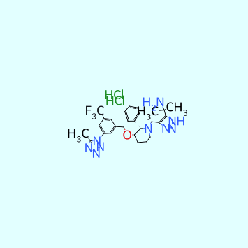 Cc1nnnn1-c1cc(CO[C@H]2CCCN(Cc3nn[nH]c3C(C)(C)N)[C@H]2c2ccccc2)cc(C(F)(F)F)c1.Cl.Cl